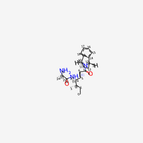 CC[C@H](C)[C@@H](/C=C/C(=O)N1[C@@H]2CC[C@H]1c1ccccc12)NC(=O)[C@H](C)N